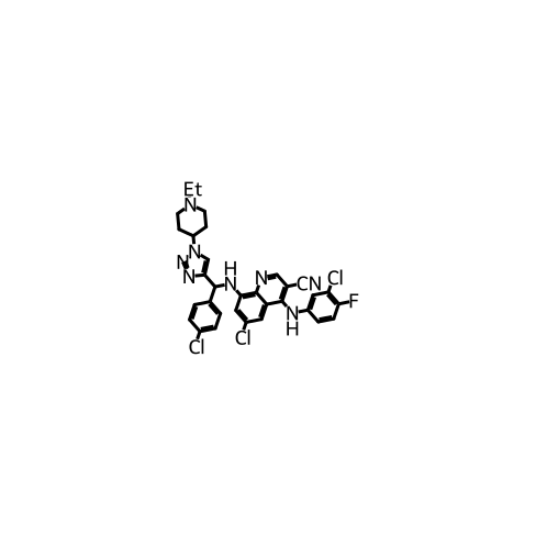 CCN1CCC(n2cc(C(Nc3cc(Cl)cc4c(Nc5ccc(F)c(Cl)c5)c(C#N)cnc34)c3ccc(Cl)cc3)nn2)CC1